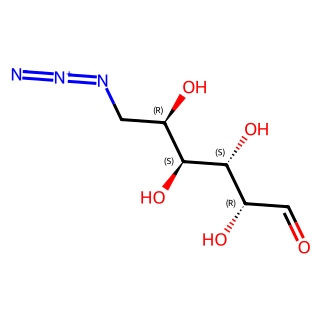 [N-]=[N+]=NC[C@@H](O)[C@H](O)[C@H](O)[C@@H](O)C=O